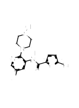 CN1CCN(c2ncc(C(F)(F)F)cc2NC(=O)c2ccc(Br)o2)CC1